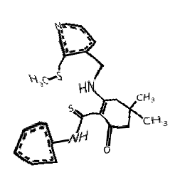 CSc1cnccc1CNC1=C(C(=S)Nc2ccccc2)C(=O)CC(C)(C)C1